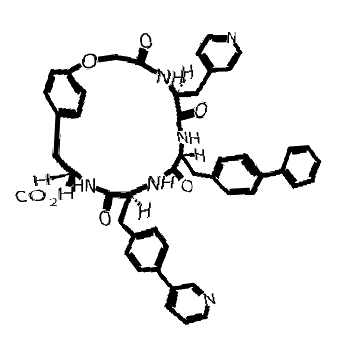 O=C1COc2ccc(cc2)C[C@@H](C(=O)O)NC(=O)[C@H](Cc2ccc(-c3cccnc3)cc2)NC(=O)[C@@H](Cc2ccc(-c3ccccc3)cc2)NC(=O)[C@H](Cc2ccncc2)N1